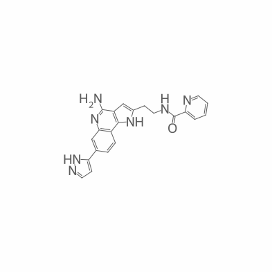 Nc1nc2cc(-c3ccn[nH]3)ccc2c2[nH]c(CCNC(=O)c3ccccn3)cc12